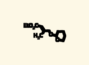 CCOC(=O)/C=C(\C)COC1CCCCO1